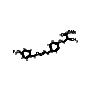 COC(=O)C(C)COc1ccc(CC=NOCc2ccc(C(F)(F)F)cc2)cc1